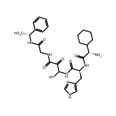 CCCC(NC(=O)[C@H](Cc1c[nH]cn1)NC(=O)[C@@H](N)C1CCCCC1)C(=O)C(=O)NCC(=O)N[C@H](C(=O)O)c1ccccc1